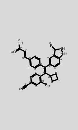 N#Cc1ccc(/C(=C(\c2ccc(/C=C/C(=O)O)cc2)c2ccc3c(c2)C(F)NN3)C2CCC2)c(F)c1